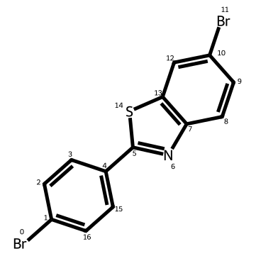 Brc1ccc(-c2nc3ccc(Br)cc3s2)cc1